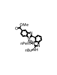 CCCCCn1c(NCCCC)nc2cccc(-c3nc4cc(C(=O)OC)ccc4n3CCCC)c21